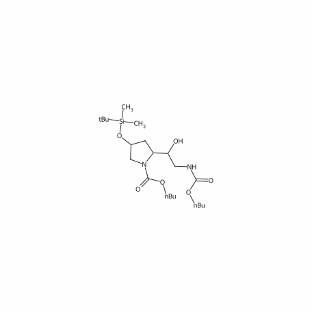 CCCCOC(=O)NCC(O)C1CC(O[Si](C)(C)C(C)(C)C)CN1C(=O)OCCCC